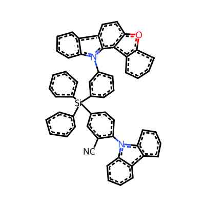 N#Cc1cc([Si](c2ccccc2)(c2ccccc2)c2cccc(-n3c4ccccc4c4ccc5oc6ccccc6c5c43)c2)ccc1-n1c2ccccc2c2ccccc21